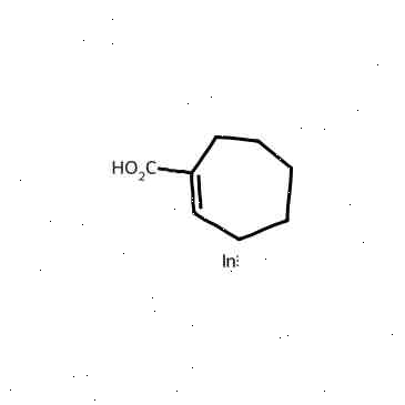 O=C(O)C1=CCCCCC1.[In]